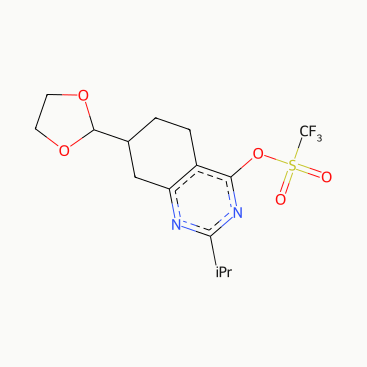 CC(C)c1nc2c(c(OS(=O)(=O)C(F)(F)F)n1)CCC(C1OCCO1)C2